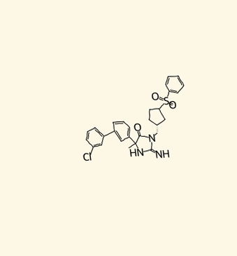 CC1(c2cccc(-c3cccc(Cl)c3)c2)NC(=N)N(C[C@@H]2CCC(S(=O)(=O)c3ccccc3)C2)C1=O